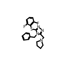 Fc1cccc(F)c1Sc1nnc(CN2CCCC2)n1Cc1ccccc1